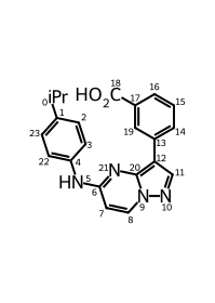 CC(C)c1ccc(Nc2ccn3ncc(-c4cccc(C(=O)O)c4)c3n2)cc1